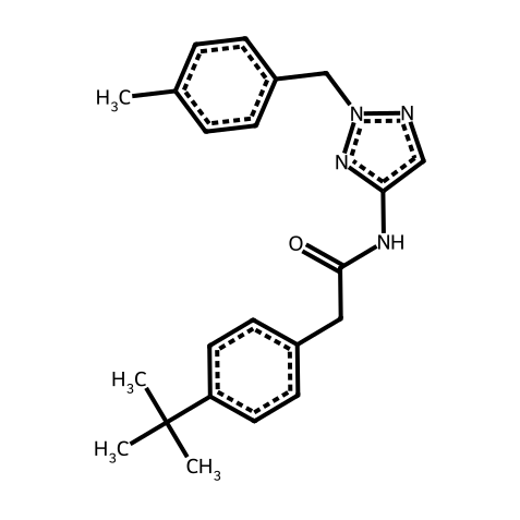 Cc1ccc(Cn2ncc(NC(=O)Cc3ccc(C(C)(C)C)cc3)n2)cc1